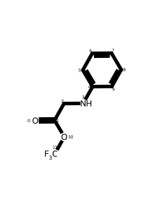 O=C(CNc1ccccc1)OC(F)(F)F